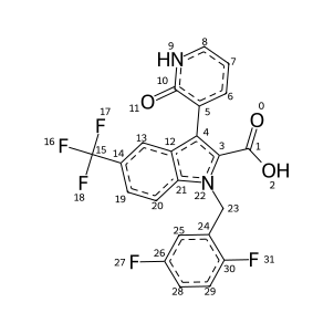 O=C(O)c1c(-c2ccc[nH]c2=O)c2cc(C(F)(F)F)ccc2n1Cc1cc(F)ccc1F